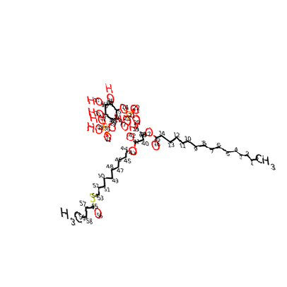 CCCCCCCCCCCCCCCC(=O)O[C@@H](COP(=O)(O)OC1C(O)[C@H](OP(=O)(O)O)C(O)[C@H](O)[C@@H]1O)CC(=O)OCCCCCCCCCCSC(=O)CCC